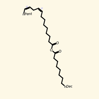 CCCCC/C=C\C/C=C\CCCCCCCC(=O)OC(=O)CCCCCCCCCCCCCCCCC